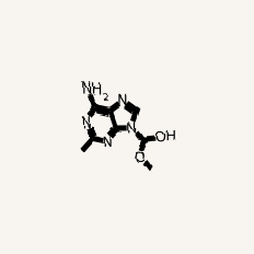 COC(O)n1cnc2c(N)nc(C)nc21